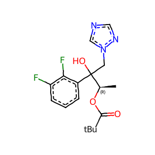 C[C@@H](OC(=O)C(C)(C)C)C(O)(Cn1cncn1)c1cccc(F)c1F